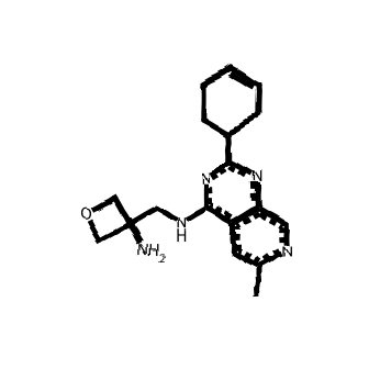 Cc1cc2c(NCC3(N)COC3)nc(C3CC=CCC3)nc2cn1